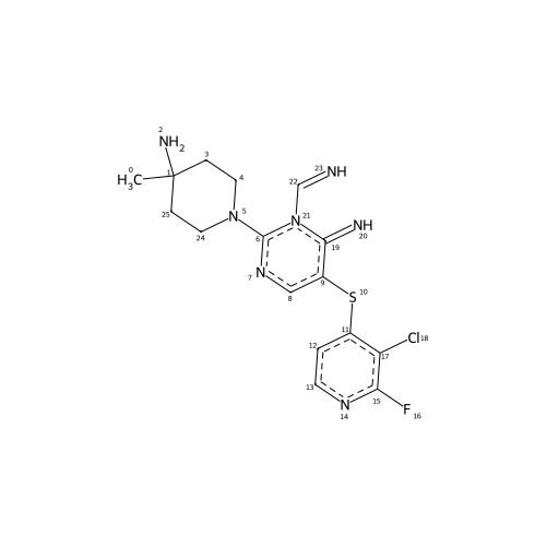 CC1(N)CCN(c2ncc(Sc3ccnc(F)c3Cl)c(=N)n2C=N)CC1